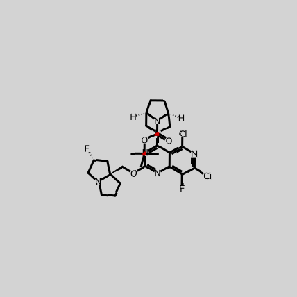 CC(C)(C)OC(=O)N1[C@@H]2CC[C@H]1CN(c1nc(OC[C@@]34CCCN3C[C@H](F)C4)nc3c(F)c(Cl)nc(Cl)c13)C2